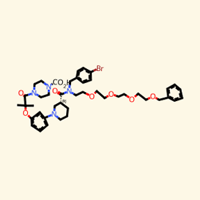 CC(C)(Oc1cccc(N2CCC[C@@H](C(=O)N(CCOCCOCCOCCOCc3ccccc3)Cc3ccc(Br)cc3)C2)c1)C(=O)N1CCN(C(=O)O)CC1